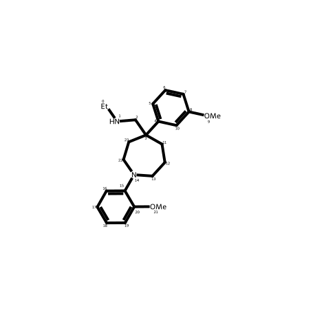 CCNCC1(c2cccc(OC)c2)CCCN(c2ccccc2OC)CC1